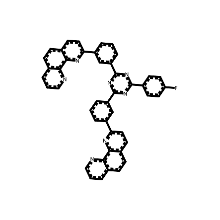 Fc1ccc(-c2nc(-c3cccc(-c4ccc5ccc6cccnc6c5n4)c3)nc(-c3cccc(-c4ccc5ccc6cccnc6c5n4)c3)n2)cc1